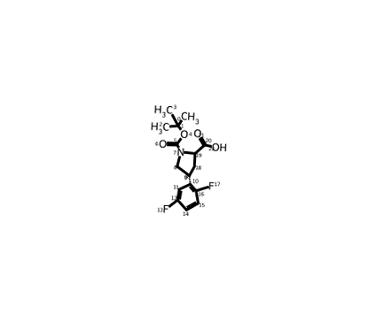 CC(C)(C)OC(=O)N1C[C@@H](c2cc(F)ccc2F)CC1C(=O)O